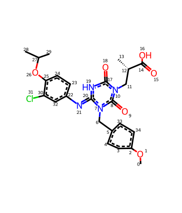 COc1ccc(Cn2c(=O)n(C[C@H](C)C(=O)O)c(=O)[nH]/c2=N\c2ccc(OC(C)C)c(Cl)c2)cc1